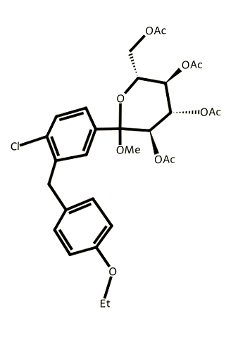 CCOc1ccc(Cc2cc(C3(OC)O[C@H](COC(C)=O)[C@@H](OC(C)=O)[C@H](OC(C)=O)[C@H]3OC(C)=O)ccc2Cl)cc1